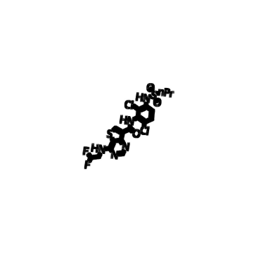 CCCS(=O)(=O)Nc1ccc(Cl)c(NC(=O)c2csc3c(NCC(F)F)ncnc23)c1Cl